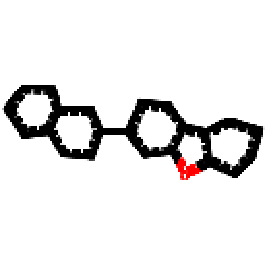 c1ccc2cc(-c3ccc4c(c3)oc3ccccc34)ccc2c1